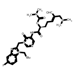 CN(C)C/C(C=O)=C/CC[C@H](OC(=O)N(C)C)C(=O)Nc1cncn(Cc2nc3cc(F)ccc3n2CC(C)(C)C)c1=O